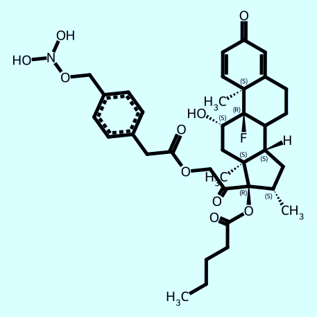 CCCCC(=O)O[C@]1(C(=O)COC(=O)Cc2ccc(CON(O)O)cc2)[C@@H](C)C[C@H]2C3CCC4=CC(=O)C=C[C@]4(C)[C@@]3(F)[C@@H](O)C[C@@]21C